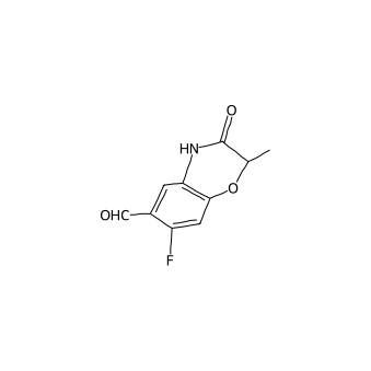 CC1Oc2cc(F)c(C=O)cc2NC1=O